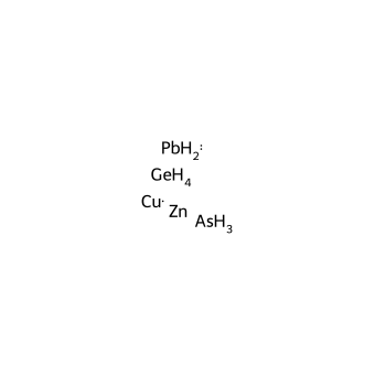 [AsH3].[Cu].[GeH4].[PbH2].[Zn]